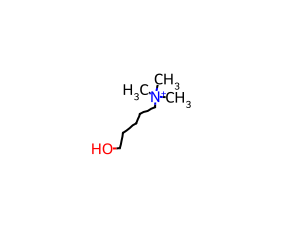 C[N+](C)(C)CCCCCO